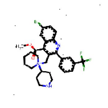 COC(=O)c1c(C[N+]2(C3CCNCC3)CCCCC2)c(-c2cccc(C(F)(F)F)c2)nc2ccc(Br)cc12